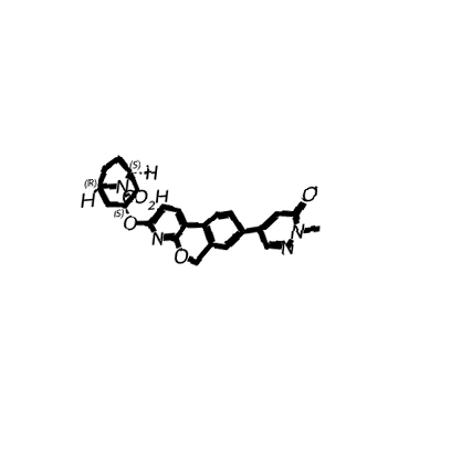 Cn1ncc(-c2ccc3c(c2)COc2nc(O[C@@H]4C[C@H]5CC[C@@H](C4)N5C(=O)O)ccc2-3)cc1=O